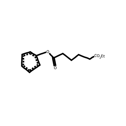 CCOC(=O)CCCCC(=O)Oc1ccccc1